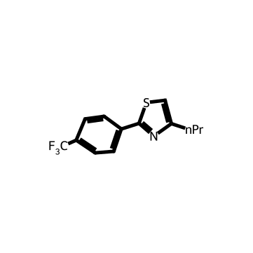 [CH2]CCc1csc(-c2ccc(C(F)(F)F)cc2)n1